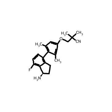 Cc1cc(OCC(C)(C)C#N)cc(C)c1-c1ccc(F)c2c1CC[C@H]2N